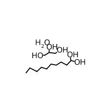 CCCCCCCCCC(O)O.O.OCC(O)CO